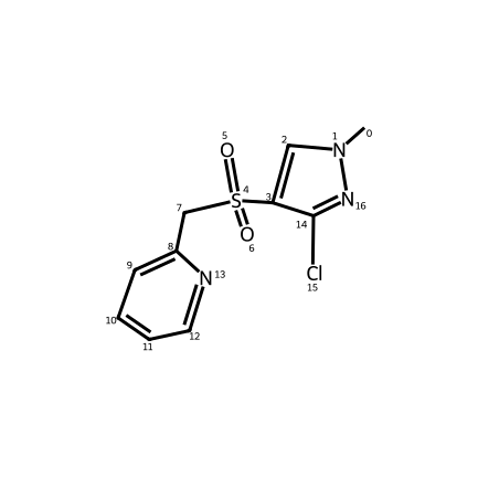 Cn1cc(S(=O)(=O)Cc2ccccn2)c(Cl)n1